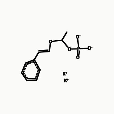 CC(O/C=C/c1ccccc1)OP(=O)([O-])[O-].[K+].[K+]